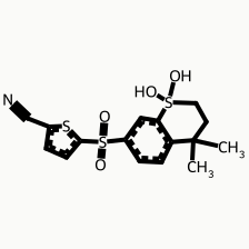 CC1(C)CCS(O)(O)c2cc(S(=O)(=O)c3ccc(C#N)s3)ccc21